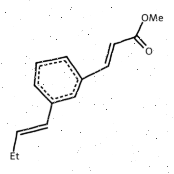 CC/C=C/c1cccc(/C=C/C(=O)OC)c1